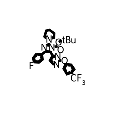 CC(C)(C)OC(=O)n1c(N2CCCCC2)nc(-c2ccc(F)cc2)c1-c1ccnc(Oc2ccc(C(F)(F)F)cc2)n1